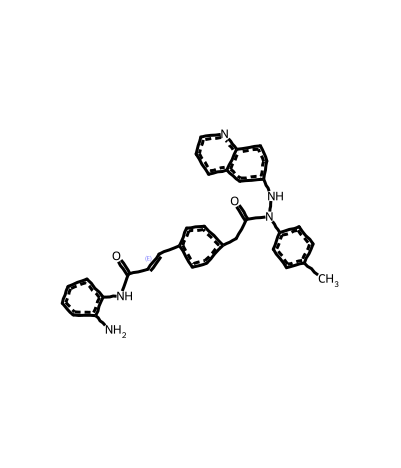 Cc1ccc(N(Nc2ccc3ncccc3c2)C(=O)Cc2ccc(/C=C/C(=O)Nc3ccccc3N)cc2)cc1